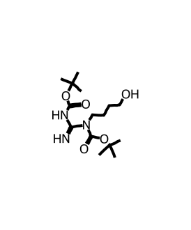 CC(C)(C)OC(=O)NC(=N)N(CCCCO)C(=O)OC(C)(C)C